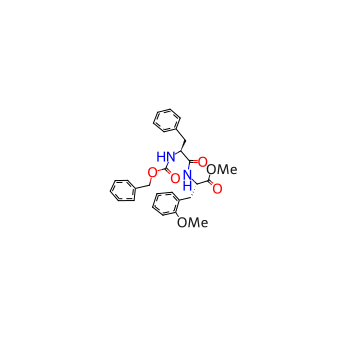 COC(=O)[C@H](Cc1ccccc1OC)NC(=O)[C@H](Cc1ccccc1)NC(=O)OCc1ccccc1